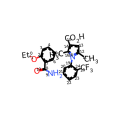 CCOc1ccccc1C(N)=O.Cc1cc(C(=O)O)c(C)n1-c1ccccc1C(F)(F)F